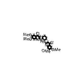 COc1cc2nc(NC3CCCC[C@H]3Nc3cc(Cl)c4cc(OC)c(OC)cc4n3)cc(Cl)c2cc1OC